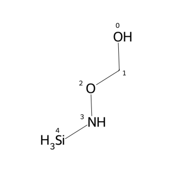 OCON[SiH3]